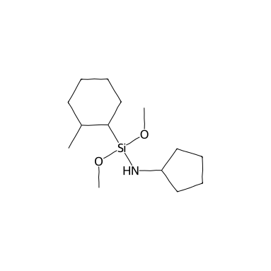 CO[Si](NC1CCCC1)(OC)C1CCCCC1C